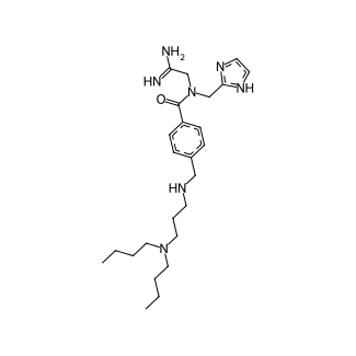 CCCCN(CCCC)CCCNCc1ccc(C(=O)N(CC(=N)N)Cc2ncc[nH]2)cc1